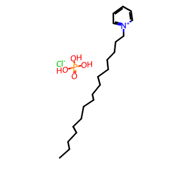 CCCCCCCCCCCCCCCC[n+]1ccccc1.O=P(O)(O)O.[Cl-]